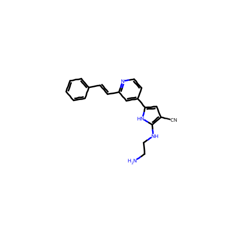 N#Cc1cc(-c2ccnc(C=Cc3ccccc3)c2)[nH]c1NCCN